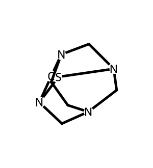 C1CN2CN3CN1CN(C2)S3